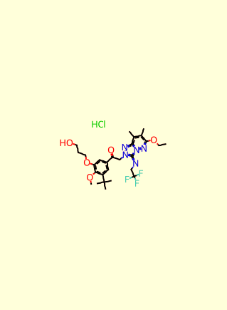 CCOc1nn2c(=NCC(F)(F)F)n(CC(=O)c3cc(OCCCO)c(OC)c(C(C)(C)C)c3)nc2c(C)c1C.Cl